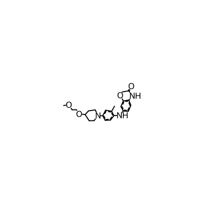 COCCOC1CCN(c2ccc(Nc3ccc4c(c3)OCC(=O)N4)c(C)c2)CC1